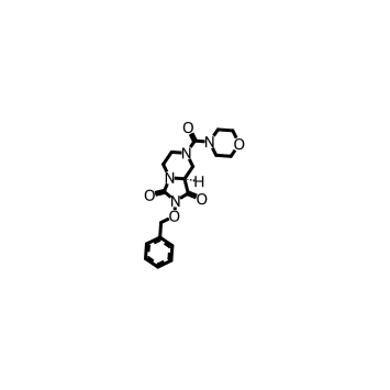 O=C(N1CCOCC1)N1CCN2C(=O)N(OCc3ccccc3)C(=O)[C@@H]2C1